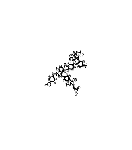 COc1ccc(Cn2nc(-c3ccc(C(=O)NCCN(C)C)cc3)c3c(Oc4ccc(N(C(=O)C5(C(N)=O)CC5)c5ccc(F)cc5)cc4F)ccnc32)cc1